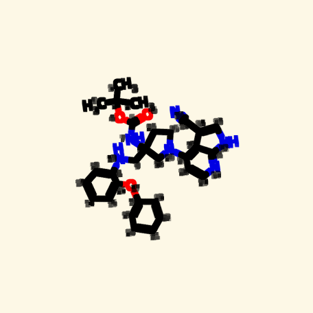 CC(C)(C)OC(=O)NC1(CNc2ccccc2Oc2ccccc2)CCN(c2ccnc3[nH]cc(C#N)c23)C1